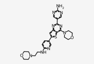 Nc1ncc(-c2nc(N3CCOCC3)c3sc(-c4ccc(NCCN5CCOCC5)nc4)cc3n2)cn1